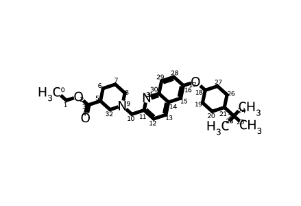 CCOC(=O)C1CCCN(Cc2ccc3cc(OC4CCC(C(C)(C)C)CC4)ccc3n2)C1